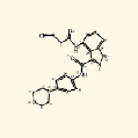 O=C(CCCl)Nc1cccc2[nH]nc(C(=O)Nc3ccc(N4CCOCC4)cc3)c12